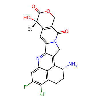 CC[C@@]1(O)C(=O)OCc2c1cc1n(c2=O)Cc2c-1nc1cc(F)c(Cl)c3c1c2[C@H](N)CC3